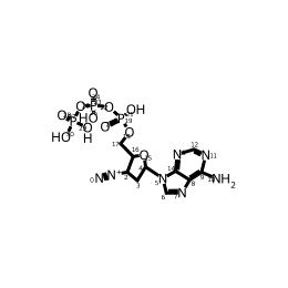 N#[N+]C1CC(n2cnc3c(N)ncnc32)OC1COP(=O)(O)OP(=O)(O)OP(=O)(O)O